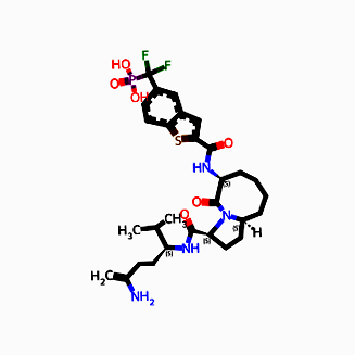 C=C(N)CC[C@H](NC(=O)[C@@H]1CC[C@@H]2CCCC[C@H](NC(=O)c3cc4cc(C(F)(F)P(=O)(O)O)ccc4s3)C(=O)N21)C(C)C